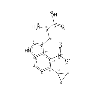 N[C@@H](Cc1c[nH]c2ccc(C3CC3)c([N+](=O)[O-])c12)C(=O)O